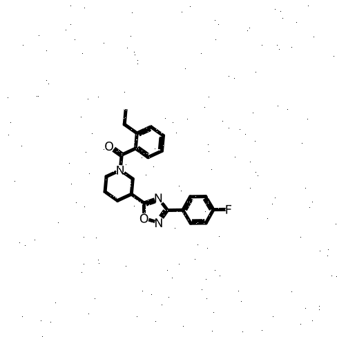 CCc1ccccc1C(=O)N1CCCC(c2nc(-c3ccc(F)cc3)no2)C1